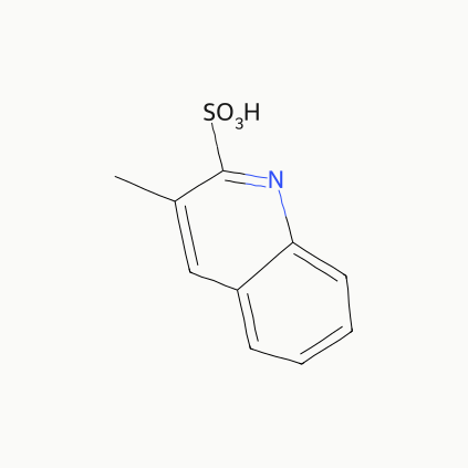 Cc1cc2ccccc2nc1S(=O)(=O)O